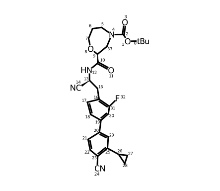 CC(C)(C)OC(=O)N1CCCO[C@H](C(=O)N[C@H](C#N)Cc2ccc(-c3ccc(C#N)c(C4CC4)c3)cc2F)C1